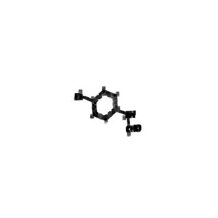 [CH2]Cc1ccc(NC=O)cc1